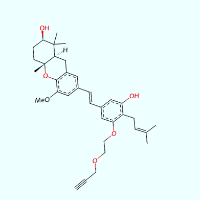 C#CCOCCOc1cc(/C=C/c2cc3c(c(OC)c2)O[C@]2(C)CC[C@@H](O)C(C)(C)[C@H]2C3)cc(O)c1CC=C(C)C